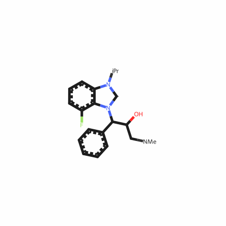 CNCC(O)C(c1ccccc1)N1[CH]N(C(C)C)c2cccc(F)c21